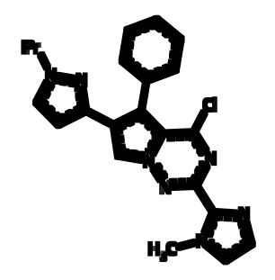 CC(C)n1ccc(-c2cn3nc(-c4nccn4C)nc(Cl)c3c2-c2ccccc2)n1